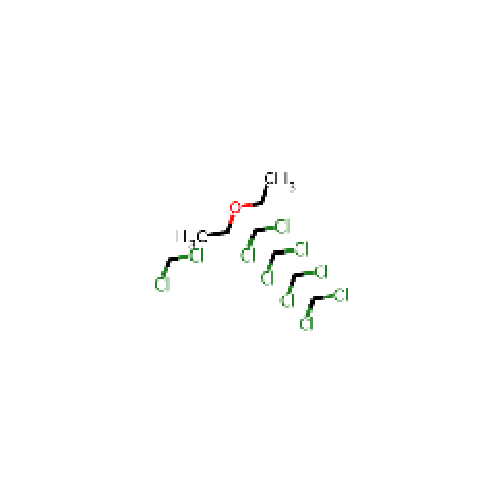 CCOCC.ClCCl.ClCCl.ClCCl.ClCCl.ClCCl